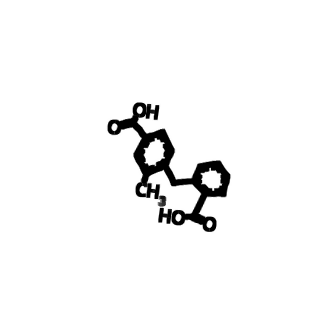 Cc1cc(C(=O)O)ccc1Cc1ccccc1C(=O)O